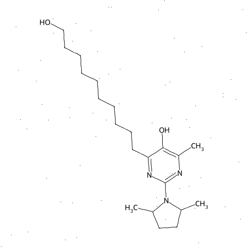 Cc1nc(N2C(C)CCC2C)nc(CCCCCCCCCCO)c1O